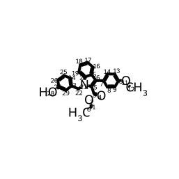 CCOC(=O)c1c(-c2ccc(OC)cc2)c2ccccc2n1Cc1cccc(O)c1